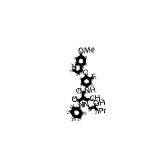 COc1ccc2c(Oc3ccc(NC(=O)c4c(C)n(CC(O)C(C)C)n(-c5ccccc5)c4=O)cc3F)ccnc2c1